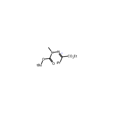 CCOC(=O)/C(=N/N(C)C(=O)OC(C)(C)C)C(C)C